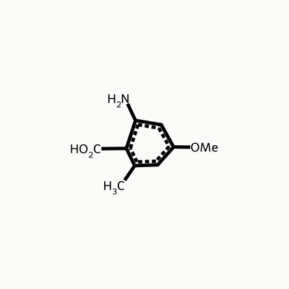 COc1cc(C)c(C(=O)O)c(N)c1